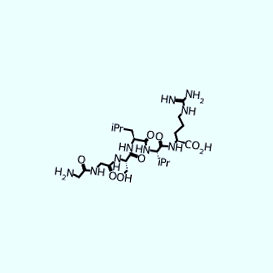 CC(C)C[C@H](NC(=O)[C@H](CO)NC(=O)CNC(=O)CN)C(=O)N[C@H](C(=O)N[C@@H](CCCNC(=N)N)C(=O)O)C(C)C